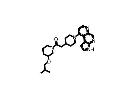 CC(C)COC1CCCN(C(=O)CC2CCN(c3ccnc4cnc5[nH]ccc5c34)CC2)C1